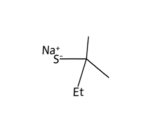 CCC(C)(C)[S-].[Na+]